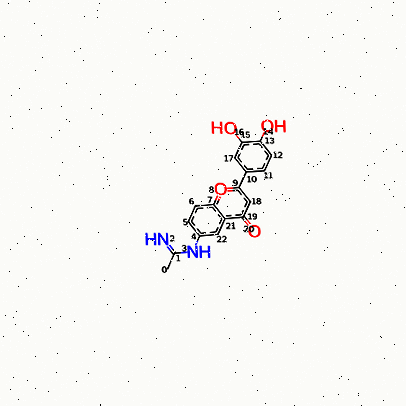 CC(=N)Nc1ccc2oc(-c3ccc(O)c(O)c3)cc(=O)c2c1